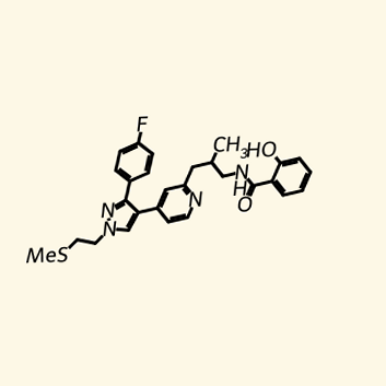 CSCCn1cc(-c2ccnc(CC(C)CNC(=O)c3ccccc3O)c2)c(-c2ccc(F)cc2)n1